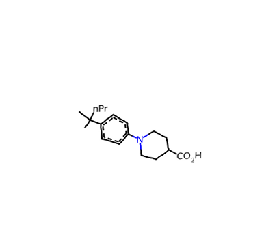 CCCC(C)(C)c1ccc(N2CCC(C(=O)O)CC2)cc1